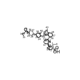 CCc1c(C(=O)O)cnn1-c1cccc(-c2cccc3c2N(Cc2ccc(C4CCN(C(=O)C5CC5)CC4)cc2C)CC3C)n1